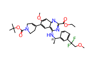 CCOC(=O)c1nc(N[C@H](C)c2cccc(C(F)(F)COC)c2)c2cc(C3=CCN(C(=O)OC(C)(C)C)CC3)c(OC)cc2n1